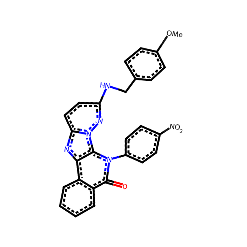 COc1ccc(CNc2ccc3nc4c5ccccc5c(=O)n(-c5ccc([N+](=O)[O-])cc5)c4n3n2)cc1